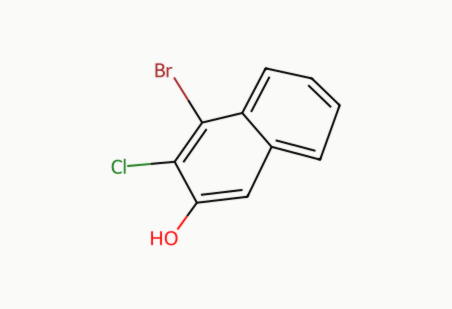 Oc1cc2ccccc2c(Br)c1Cl